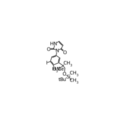 COc1c(I)cc(-n2c(=O)cc[nH]c2=O)cc1C(C)(C)CO[Si](C)(C)C(C)(C)C